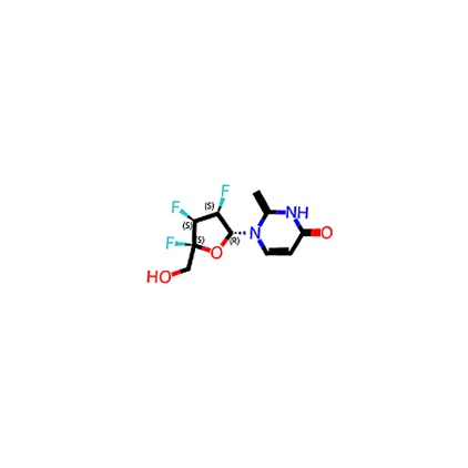 C=C1NC(=O)C=CN1[C@@H]1O[C@](F)(CO)[C@@H](F)[C@H]1F